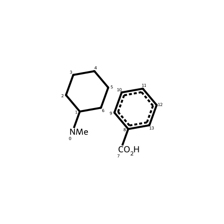 CNC1CCCCC1.O=C(O)c1ccccc1